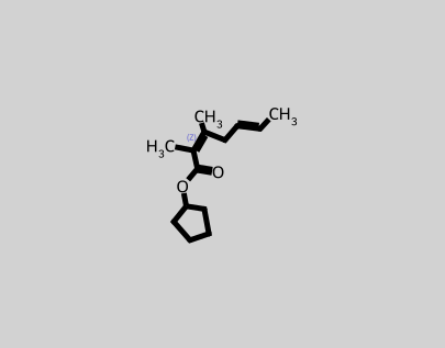 CC=CC/C(C)=C(/C)C(=O)OC1CCCC1